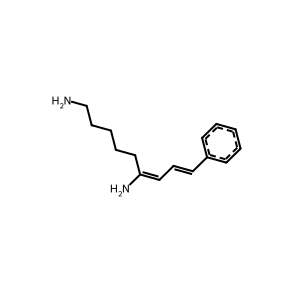 NCCCCC/C(N)=C\C=C\c1ccccc1